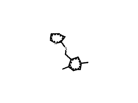 Cc1ccc(C)c(CSc2ccccn2)c1